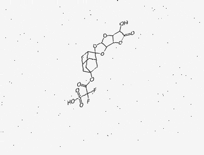 O=C1OC2C3OC4(OC3OC2C1O)C1CC2CC4CC(OC(=O)C(F)(F)S(=O)(=O)O)(C2)C1